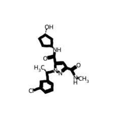 CNC(=O)c1cc(C(=O)N[C@H]2CC[C@H](O)C2)n([C@@H](C)c2cccc(Cl)c2)n1